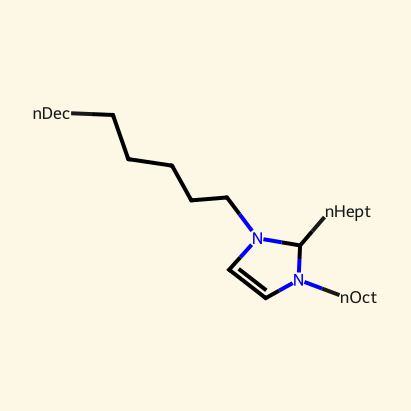 CCCCCCCCCCCCCCCN1C=CN(CCCCCCCC)C1CCCCCCC